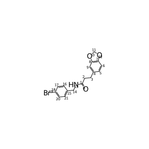 O=C(CCc1ccc2c(c1)OCO2)NCc1ccc(Br)cc1